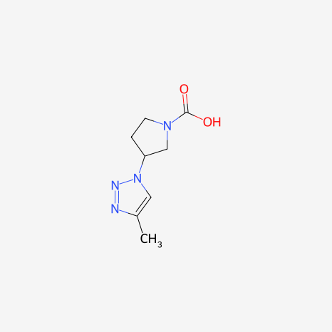 Cc1cn(C2CCN(C(=O)O)C2)nn1